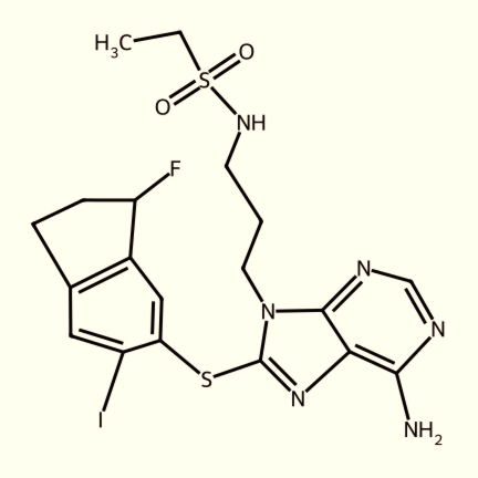 CCS(=O)(=O)NCCCn1c(Sc2cc3c(cc2I)CCC3F)nc2c(N)ncnc21